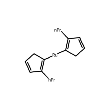 CCCC1=[C]([Ru][C]2=C(CCC)C=CC2)CC=C1